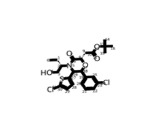 CC[C@@H](CO)N1C(=O)[C@H](CC(=O)OC(C)(C)C)OC(c2cccc(Cl)c2)C1c1ccc(Cl)s1